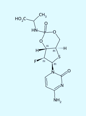 CC(NP1(=O)OC[C@H]2S[C@@H](n3ccc(N)nc3=O)[C@@H](F)[C@@H]2O1)C(=O)O